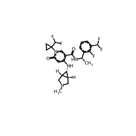 C[C@@H](NC(=O)c1cn(C2(C(F)F)CC2)c(=O)cc1N[C@@H]1[C@@H]2CN(C)C[C@@H]21)c1cccc(C(F)F)c1F